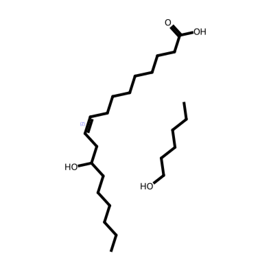 CCCCCCC(O)C/C=C\CCCCCCCC(=O)O.CCCCCCO